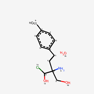 CCCCCCCCc1ccc(CCC(N)(CO)C(O)Cl)cc1.O